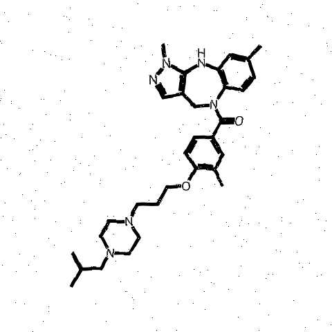 Cc1ccc2c(c1)Nc1c(cnn1C)CN2C(=O)c1ccc(OCCCN2CCN(CC(C)C)CC2)c(C)c1